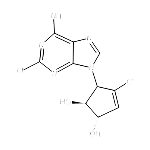 Nc1nc(Cl)nc2c1ncn2C1C(Cl)=C[C@H](O)[C@H]1O